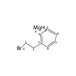 BrCCc1ccccc1.[MgH2]